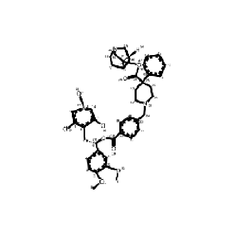 COc1ccc([C@H](Cc2c(Cl)c[n+]([O-])cc2Cl)OC(=O)c2ccc(CN3CCC(C(=O)O[C@H]4CN5CCC4CC5)(c4ccccc4)CC3)cc2)cc1OC